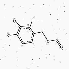 O=[C]OCc1ccc(Cl)c(Cl)c1Cl